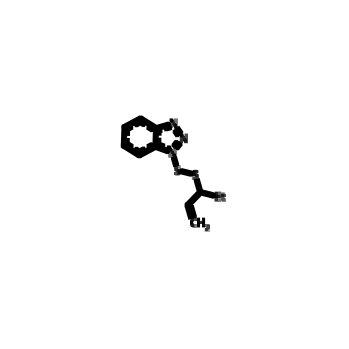 C=CC(CC)SSn1nnc2ccccc21